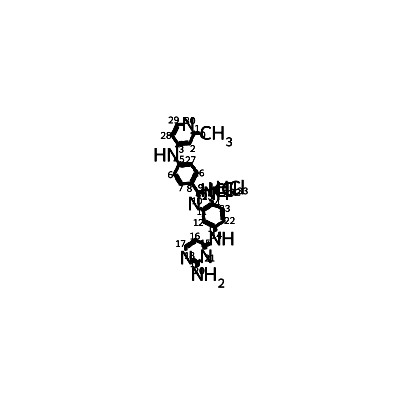 Cc1cc(Nc2ccc(-c3nc4cc(Nc5ccnc(N)n5)ccc4[nH]3)cc2)ccn1.Cl.Cl.Cl